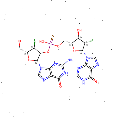 Nc1nc2c(ncn2[C@@H]2O[C@H](CO)[C@@H](F)C2OP(O)(=S)OC[C@H]2O[C@@H](n3cnc4c(=O)[nH]cnc43)[C@@H](F)[C@@H]2O)c(=O)[nH]1